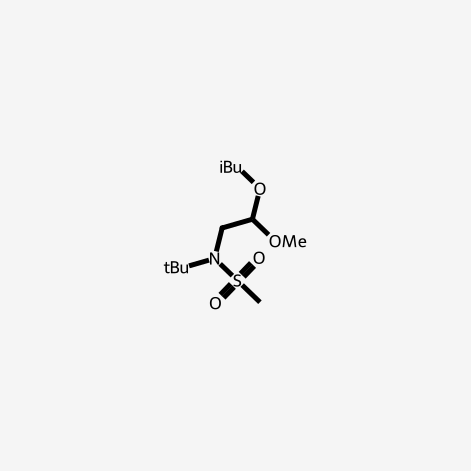 CCC(C)OC(CN(C(C)(C)C)S(C)(=O)=O)OC